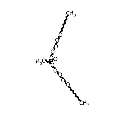 C=CCC(CC=O)(COCCOCCOCCOCCOCCCCCCCCCCC)COCCOCCOCCOCCOCCCCCCCCCCC